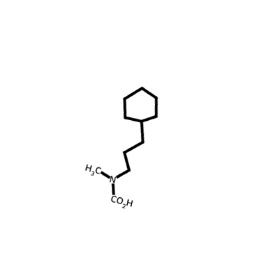 CN(CCCC1CCCCC1)C(=O)O